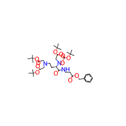 CC(C)(C)OC(=O)CN(CC[C@H](C(=O)NCCC(=O)OCc1ccccc1)N(CC(=O)OC(C)(C)C)OC(=O)OC(C)(C)C)CC(=O)OC(C)(C)C